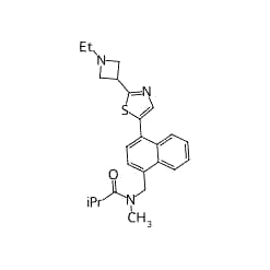 CCN1CC(c2ncc(-c3ccc(CN(C)C(=O)C(C)C)c4ccccc34)s2)C1